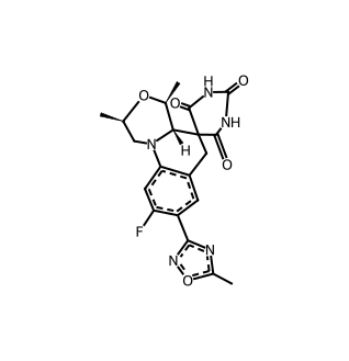 Cc1nc(-c2cc3c(cc2F)N2C[C@@H](C)O[C@@H](C)[C@@H]2C2(C3)C(=O)NC(=O)NC2=O)no1